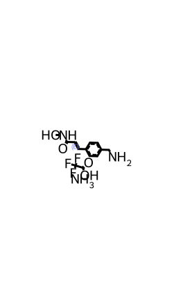 N.NCc1ccc(/C=C/C(=O)NO)cc1.O=C(O)C(F)(F)F